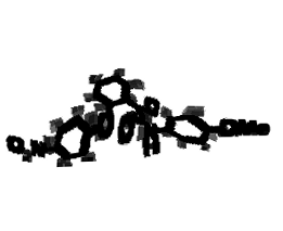 COc1ccc(NS(=O)(=O)c2ccccc2Oc2ccc([N+](=O)[O-])cc2)cc1